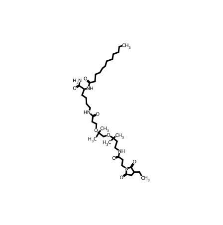 CCCCCCCCCCCC(=O)NC(CCCCNC(=O)CCOC(C)(C)COC(C)(C)CCNC(=O)CCN1C(=O)CC(CC)C1=O)C(N)=O